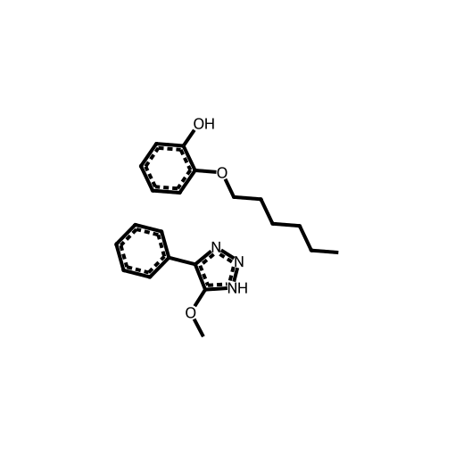 CCCCCCOc1ccccc1O.COc1[nH]nnc1-c1ccccc1